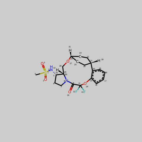 CS(=O)(=O)N[C@H]1CCN2C(=O)C(F)(F)Oc3ccccc3[C@H]3CC[C@H](CC3)OC[C@@H]12